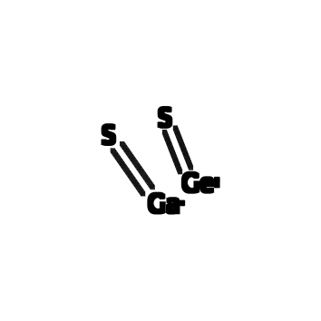 [S]=[Ga].[S]=[Ge]